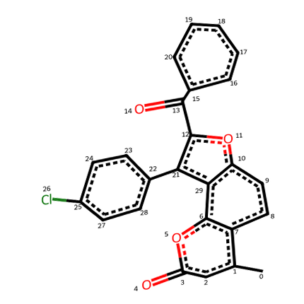 Cc1cc(=O)oc2c1ccc1oc(C(=O)c3ccccc3)c(-c3ccc(Cl)cc3)c12